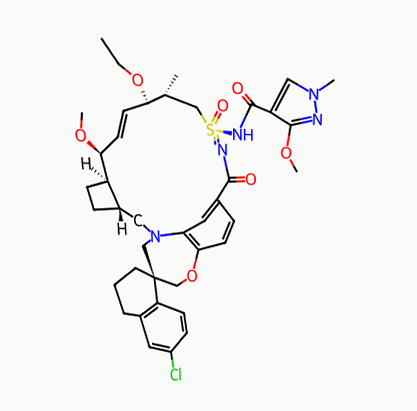 CCO[C@H]1/C=C/[C@H](OC)[C@@H]2CC[C@H]2CN2C[C@@]3(CCCc4cc(Cl)ccc43)COc3ccc(cc32)C(=O)N=[S@](=O)(NC(=O)c2cn(C)nc2OC)C[C@H]1C